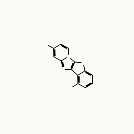 Cc1ccn2c(c1)nc1c3c(C)cccc3[nH]c12